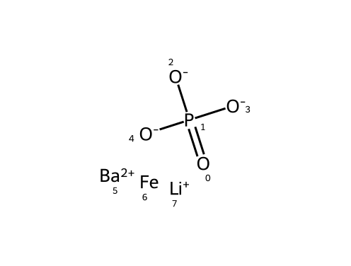 O=P([O-])([O-])[O-].[Ba+2].[Fe].[Li+]